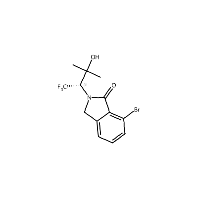 CC(C)(O)[C@H](N1Cc2cccc(Br)c2C1=O)C(F)(F)F